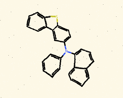 c1ccc(N(c2ccc3sc4ccccc4c3c2)c2cccc3ccccc23)cc1